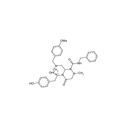 COc1ccc(CN(C)CC2N([C@H](C=O)Cc3ccc(O)cc3)C(=O)CN(C)N2C(=O)NCc2ccccc2)cc1